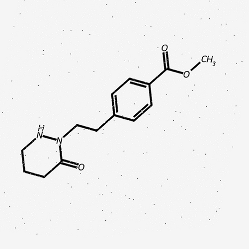 COC(=O)c1ccc(CCN2NCCCC2=O)cc1